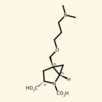 CN(C)CCCOC[C@@]12C[C@@H]1N(C(=O)O)[C@H](C(=O)O)C2